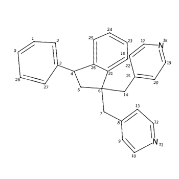 c1ccc(C2CC(Cc3ccncc3)(Cc3ccncc3)c3ccccc32)cc1